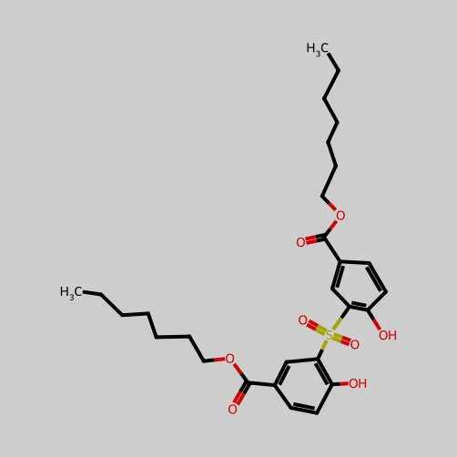 CCCCCCCOC(=O)c1ccc(O)c(S(=O)(=O)c2cc(C(=O)OCCCCCCC)ccc2O)c1